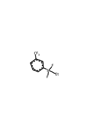 CC[Si](F)(F)c1cccc(C(F)(F)F)c1